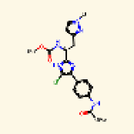 CCn1ccc(C[C@H](NC(=O)OC(C)(C)C)c2nc(-c3ccc(NC(=O)OC)cc3)c(Cl)[nH]2)n1